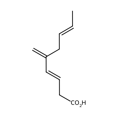 C=C(C=CCC(=O)O)CC=CC